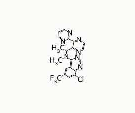 CC(c1nccnc1-c1ncccn1)N(C)c1ncnc2c(Cl)cc(C(F)(F)F)cc12